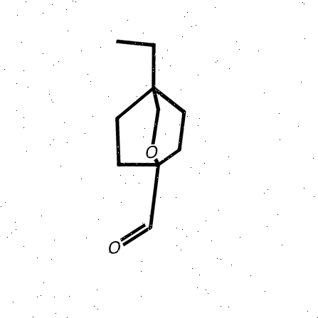 CCC12CCC(C=O)(CC1)OC2